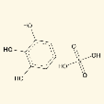 O=S(=O)(O)O.Oc1cccc(O)c1O